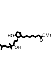 COC(=O)CCCCCCC1=CC[C@@H](O)[C@@H]1/C=C/[C@@H](O)C(C)(C)CC=C(C)C